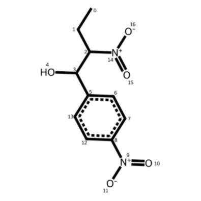 CCC(C(O)c1ccc([N+](=O)[O-])cc1)[N+](=O)[O-]